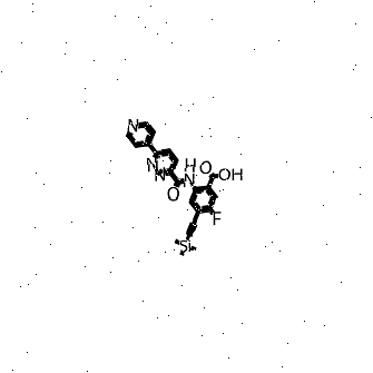 C[Si](C)(C)C#Cc1cc(NC(=O)c2ccc(-c3ccncc3)nn2)c(C(=O)O)cc1F